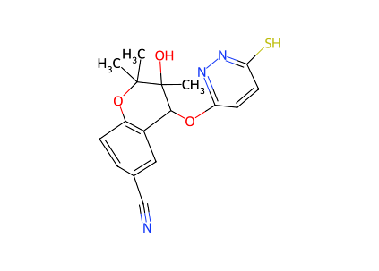 CC1(C)Oc2ccc(C#N)cc2C(Oc2ccc(S)nn2)C1(C)O